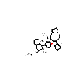 CCC1=C[C@@H]2CN(CCc3c([nH]c4ccccc34)[C@@](C(=O)OC)(c3cc4c(cc3OC)N(C)[C@H]3C(O)(COC(=O)CC(C)C)[C@H](OC(C)=O)[C@]5(CC)C=CCN6CC[C@]43[C@@H]65)C2)C1